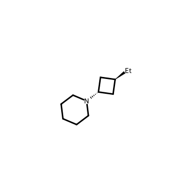 CC[C@H]1C[C@H](N2CCCCC2)C1